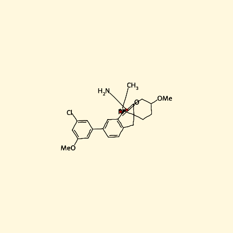 COc1cc(Cl)cc(-c2ccc3c(c2)C2(N=C(N)N(C)C2=O)C2(CCC(OC)CC2)C3)c1